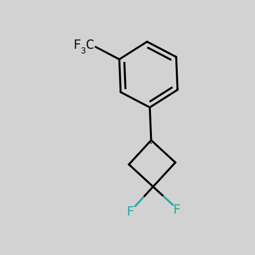 FC1(F)C[C](c2cccc(C(F)(F)F)c2)C1